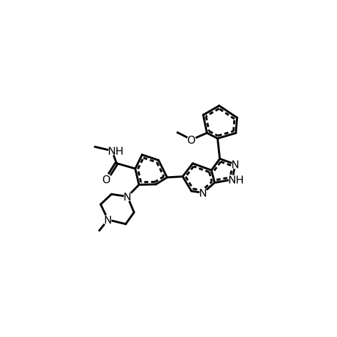 CNC(=O)c1ccc(-c2cnc3[nH]nc(-c4ccccc4OC)c3c2)cc1N1CCN(C)CC1